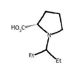 CCC(CC)N1CCC[C@H]1C(=O)O